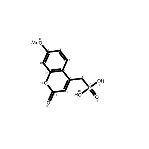 COc1ccc2c(CP(=O)(O)O)cc(=O)oc2c1